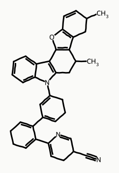 CC1C=Cc2oc3c(c2C1)C(C)Cc1c-3c2ccccc2n1C1=CC(C2=CCCC=C2C2=CCC(C#N)C=N2)=CCC1